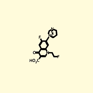 O=C(O)c1cn(CCF)c2cc(N3CCN4CCC3CC4)c(F)cc2c1=O